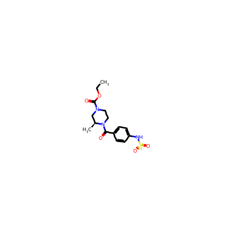 CCOC(=O)N1CCN(C(=O)c2ccc(N[SH](=O)=O)cc2)[C@@H](C)C1